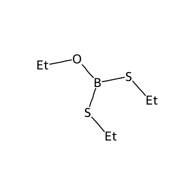 CCOB(SCC)SCC